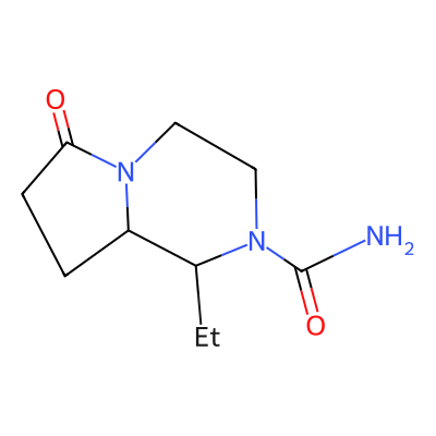 CCC1C2CCC(=O)N2CCN1C(N)=O